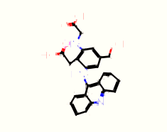 O=C(O)CNc1cc(CO)cc(Nc2c3ccccc3nc3ccccc23)c1CC(=O)O